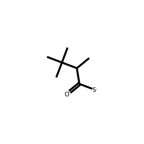 CC(C(=O)[S])C(C)(C)C